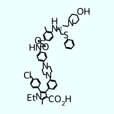 CCn1c(C)c(C(=O)O)c(-c2cccc(N3CCN(c4ccc(NS(=O)(=O)c5ccc(N[C@H](CCN6CCC(O)CC6)CSc6ccccc6)c(C)c5)cc4)CC3)c2)c1-c1ccc(Cl)cc1